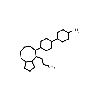 CCCC1C2CCCC2CCCCC1C1CCC(C2CCC(C)CC2)CC1